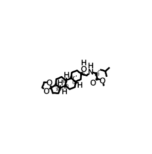 COC(=O)[C@@H](CC(C)C)NC[C@@]1(O)CC[C@@]2(C)[C@@H](CC[C@@H]3[C@@H]2CC[C@@]2(C)[C@H]3CCC23OCCO3)C1